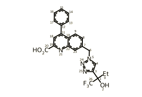 CCC(O)(c1cn(Cc2ccc3c(-c4ccccc4)cc(C(=O)O)nc3c2)nn1)C(F)(F)F